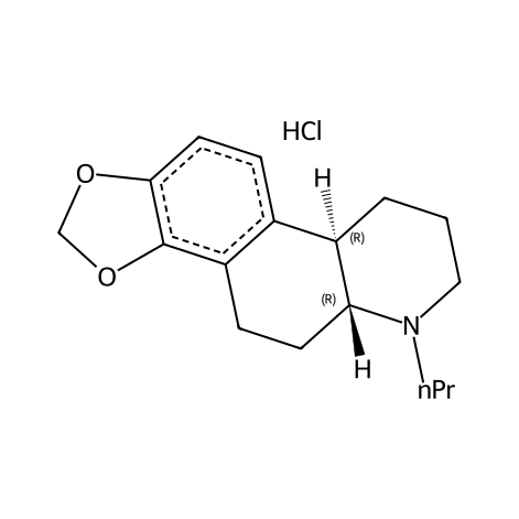 CCCN1CCC[C@@H]2c3ccc4c(c3CC[C@H]21)OCO4.Cl